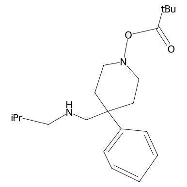 CC(C)CNCC1(c2ccccc2)CCN(OC(=O)C(C)(C)C)CC1